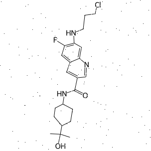 CC(C)(O)C1CCC(NC(=O)c2cnc3cc(NCCCCl)c(F)cc3c2)CC1